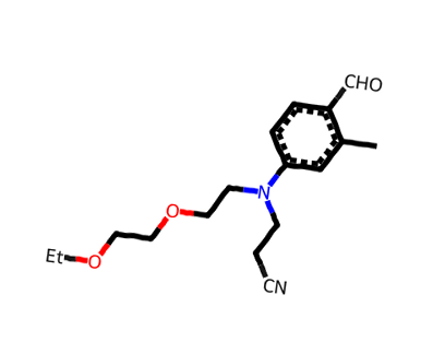 CCOCCOCCN(CCC#N)c1ccc(C=O)c(C)c1